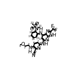 COCCNc1ccc(Nc2cc(Nc3ccccc3N(C)S(C)(=O)=O)c3nc(C(F)F)[nH]c3n2)nc1C#N